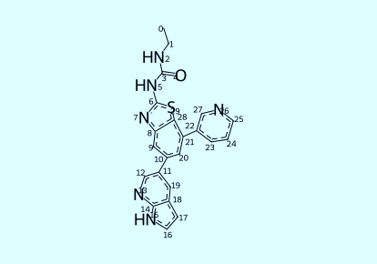 CCNC(=O)Nc1nc2cc(-c3cnc4[nH]ccc4c3)cc(-c3cccnc3)c2s1